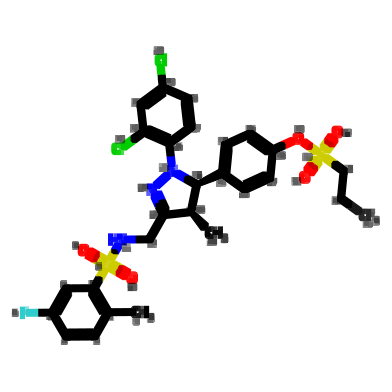 Cc1ccc(F)cc1S(=O)(=O)NCC1=NN(c2ccc(Cl)cc2Cl)[C@@H](c2ccc(OS(=O)(=O)CCC(F)(F)F)cc2)[C@H]1C